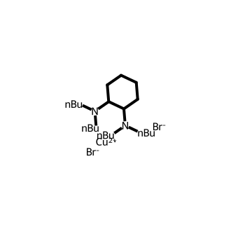 CCCCN(CCCC)C1CCCCC1N(CCCC)CCCC.[Br-].[Br-].[Cu+2]